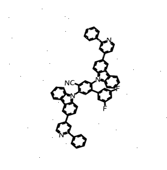 N#Cc1cc(-n2c3ccccc3c3cc(-c4ccnc(-c5ccccc5)c4)ccc32)c(-c2cc(F)cc(F)c2)cc1-n1c2ccccc2c2cc(-c3ccnc(-c4ccccc4)c3)ccc21